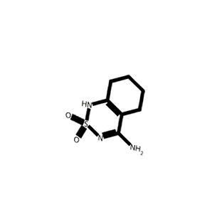 NC1=NS(=O)(=O)NC2=C1CCCC2